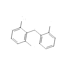 CC(C)c1cccc(O)c1Cc1ccccc1O